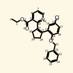 CCOC(=O)c1cccnc1C1=C(c2cc(Cl)ccc2OCc2ccccc2)CCC1